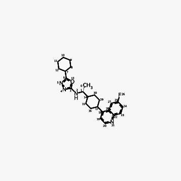 C[C@@H](Nc1nnc(C2CCCCC2)o1)C1CCC(c2ccnc3ccc(F)cc23)CC1